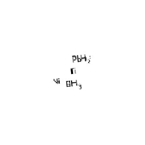 B.[Ni].[PbH2].[Ti]